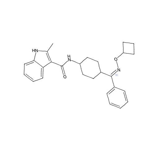 Cc1[nH]c2ccccc2c1C(=O)NC1CCC(/C(=N\OC2CCC2)c2ccccc2)CC1